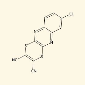 N#CC1=C(C#N)Sc2nc3cc(Cl)ccc3nc2S1